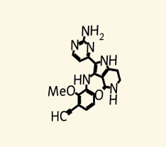 C#Cc1cccc(Nc2c(-c3ccnc(N)n3)[nH]c3c2C(=O)NCC3)c1OC